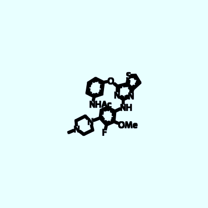 COc1c(Nc2nc(Oc3cccc(NC(C)=O)c3)c3sccc3n2)ccc(N2CCN(C)CC2)c1F